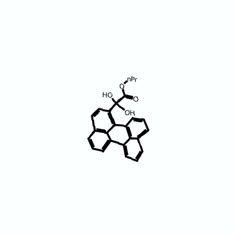 CCCOC(=O)C(O)(O)c1ccc2cccc3c4cccc5cccc(c1c23)c54